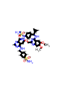 COc1cc2nc(COc3cc4c(NCc5ccc(S(N)(=O)=O)cc5)ncnc4cn3)nc(NC(c3ccc(NS(N)(=O)=O)cc3)C3CC3)c2cc1OC